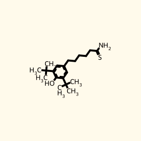 CC(C)(C)c1cc(CCCCCC(N)=S)cc(C(C)(C)C)c1O